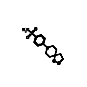 NS(=O)(=O)c1ccc(N2CCC3(CCOO3)CC2)cc1